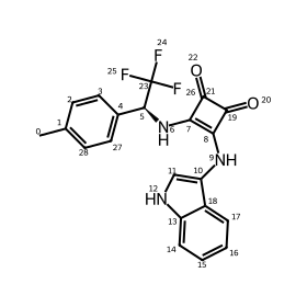 Cc1ccc([C@H](Nc2c(Nc3c[nH]c4ccccc34)c(=O)c2=O)C(F)(F)F)cc1